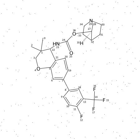 CC1(C)COc2cc(-c3ccc(F)c(C(F)(F)F)c3)ccc2C1NC(=O)O[C@H]1CN2CCC1CC2